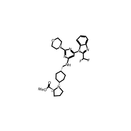 COC(=O)[C@@H]1CCCN1[C@H]1CC[C@@H](CNc2cc(-n3c(C(F)F)nc4ccccc43)nc(N3CCOCC3)n2)CC1